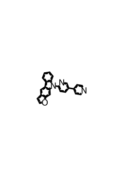 c1ccc2c(c1)c1cc3ccoc3cc1n2-c1ccc(-c2ccncc2)cn1